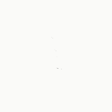 CC[C@H](O)OC(=O)N1CCNCC1